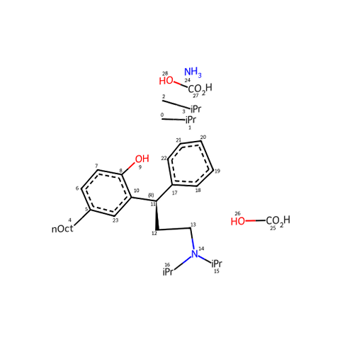 CC(C)C.CC(C)C.CCCCCCCCc1ccc(O)c([C@H](CCN(C(C)C)C(C)C)c2ccccc2)c1.N.O=C(O)O.O=C(O)O